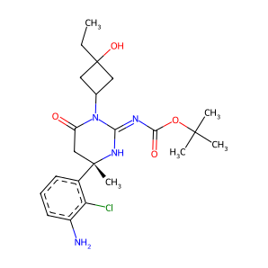 CCC1(O)CC(N2C(=O)C[C@@](C)(c3cccc(N)c3Cl)N/C2=N\C(=O)OC(C)(C)C)C1